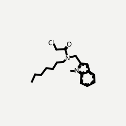 CCCCCCCN(Cc1cc2ccccc2n1C)C(=O)CCl